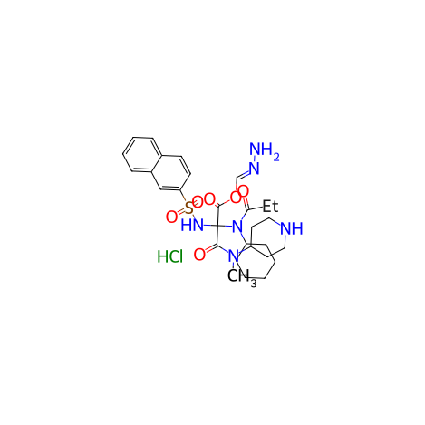 CCC(=O)N(C1CCCCC1)C(NS(=O)(=O)c1ccc2ccccc2c1)(C(=O)OC=NN)C(=O)N(C)C1CCNCC1.Cl